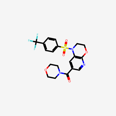 O=C(c1cnc2c(c1)N(S(=O)(=O)c1ccc(C(F)(F)F)cc1)CCO2)N1CCOCC1